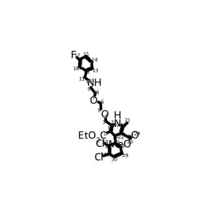 CCOC(=O)C1=C(COCCOCCNCc2cccc(F)c2)NC(C)=C(C(=O)OC)C1c1cccc(Cl)c1Cl